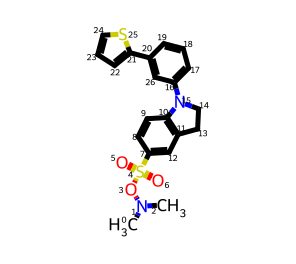 CN(C)OS(=O)(=O)c1ccc2c(c1)CCN2c1cccc(-c2cccs2)c1